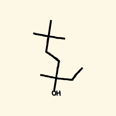 CCC(C)(O)CCC(C)(C)C